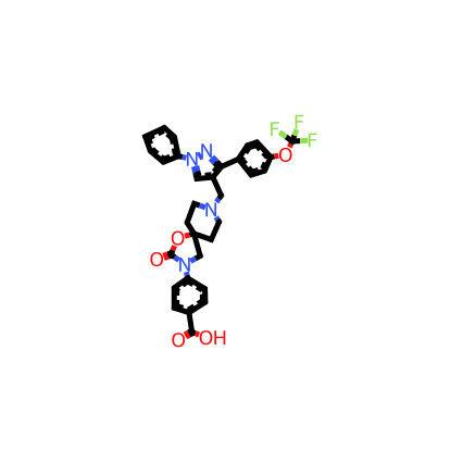 O=C(O)c1ccc(N2CC3(CCN(Cc4cn(-c5ccccc5)nc4-c4ccc(OC(F)(F)F)cc4)CC3)OC2=O)cc1